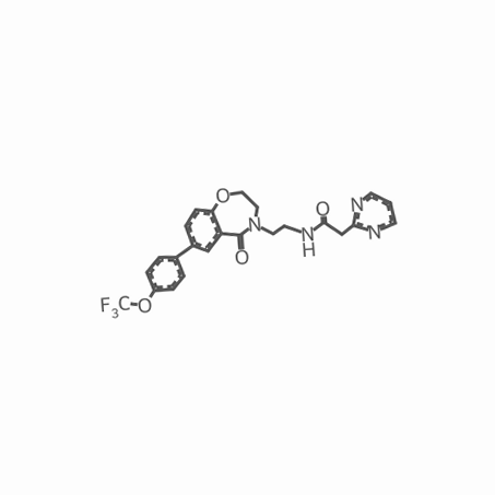 O=C(Cc1ncccn1)NCCN1CCOc2ccc(-c3ccc(OC(F)(F)F)cc3)cc2C1=O